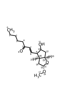 CCCCCC(=O)C=CC1C(O)C[C@@H]2O[C@H](OC)C[C@H]12